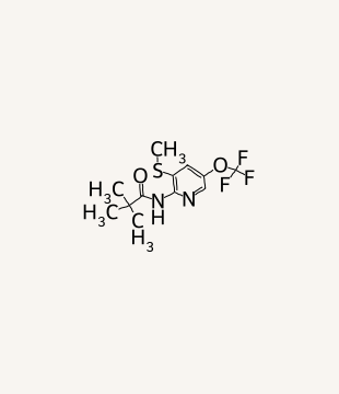 CSc1cc(OC(F)(F)F)cnc1NC(=O)C(C)(C)C